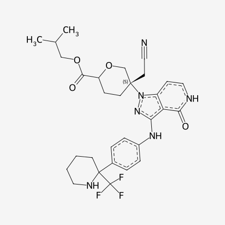 CC(C)COC(=O)C1CC[C@@](CC#N)(n2nc(Nc3ccc(C4(C(F)(F)F)CCCCN4)cc3)c3c(=O)[nH]ccc32)CO1